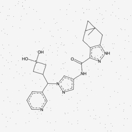 CC12Cc3[nH]nc(C(=O)Nc4cnn(C(c5cccnc5)C5CS(O)(O)C5)c4)c3CC1C2